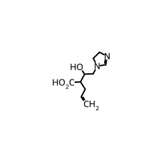 C=CCC(C(=O)O)C(O)CN1C=NCC1